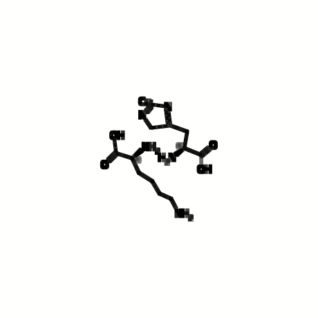 NCCCC[C@H](N)C(=O)O.N[C@@H](CC1=NC=NC1)C(=O)O.[Cu]